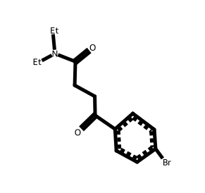 CCN(CC)C(=O)CCC(=O)c1ccc(Br)cc1